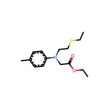 CCOC(=O)CN(CCSCC)c1ccc(C)cc1